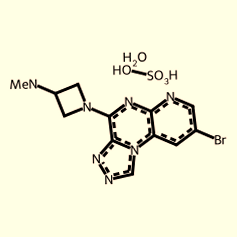 CNC1CN(c2nc3ncc(Br)cc3n3cnnc23)C1.O.O=S(=O)(O)O